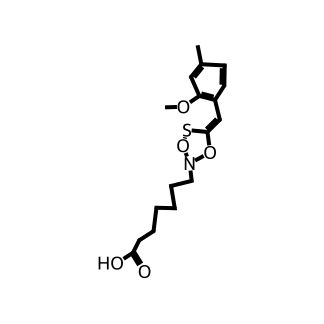 COc1cc(C)ccc1C=C1ON(CCCCCCC(=O)O)OS1